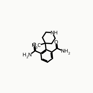 CC1(c2c(C(N)=O)cccc2C(N)=O)CCNCC1